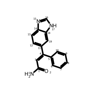 NC(=O)C=C(c1ccccc1)c1ccc2nc[nH]c2c1